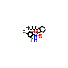 O=C(O)C1CCCCC1S(=O)(=O)Nc1ccc(F)cc1Cl